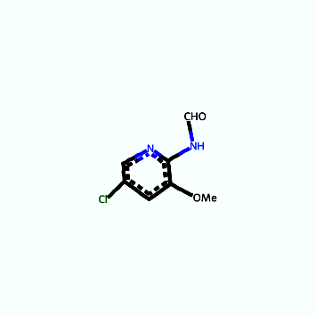 COc1cc(Cl)cnc1NC=O